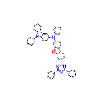 c1ccc(-c2nc(-c3ccccc3)nc(-c3ccc4c(c3)oc3cc(N(c5ccccc5)c5ccc6c(c5)c5ccccc5n6-c5ccccc5)ccc34)n2)cc1